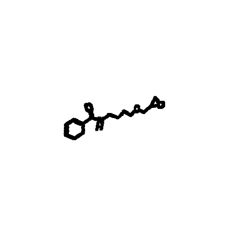 O=C(NCCCCOCC1CO1)C1=CC=CCC1